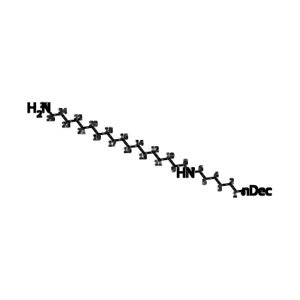 CCCCCCCCCCCCCCCCNCCCCCCCCCCCCCCCCCCN